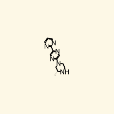 C[C@@H]1CN(c2cnc(-c3ncccn3)cn2)CCN1